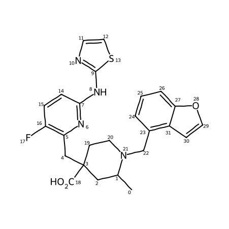 CC1CC(Cc2nc(Nc3nccs3)ccc2F)(C(=O)O)CCN1Cc1cccc2occc12